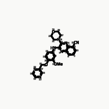 COc1cc(Nc2nc3cccc(C#N)c3nc2N2CCOCC2)ccc1OCc1cnccn1